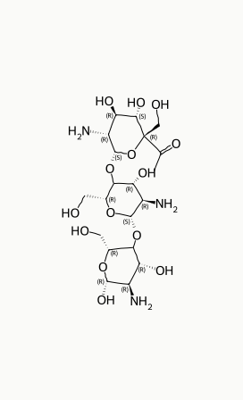 CC(=O)[C@]1(CO)O[C@H](OC2[C@@H](CO)O[C@@H](OC3[C@@H](CO)O[C@@H](O)[C@H](N)[C@H]3O)[C@H](N)[C@H]2O)[C@H](N)[C@@H](O)[C@@H]1O